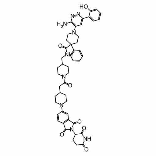 Nc1nnc(-c2ccccc2O)cc1N1CCC(C(=O)NCC2CCN(C(=O)CC3CCN(c4ccc5c(c4)C(=O)N(C4CCC(=O)NC4=O)C5=O)CC3)CC2)(c2ccccc2)CC1